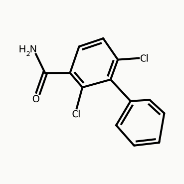 NC(=O)c1ccc(Cl)c(-c2ccccc2)c1Cl